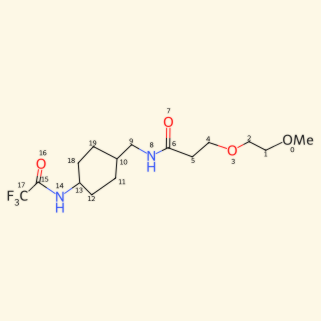 COCCOCCC(=O)NCC1CCC(NC(=O)C(F)(F)F)CC1